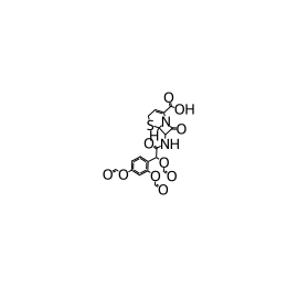 O=COc1ccc(C(OC=O)C(=O)NC2C(=O)N3C(C(=O)O)=CCS[C@@H]23)c(OC=O)c1